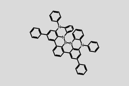 c1ccc(-c2cc3c4c(c2)N(c2ccccc2)c2ccccc2N4B2c4c-3cccc4-c3cc(-c4ccccc4)cc4c3N2c2ccccc2N4c2ccccc2)cc1